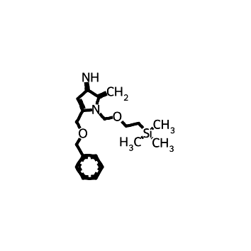 C=C1C(=N)C=C(COCc2ccccc2)N1COCC[Si](C)(C)C